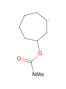 CNC(=O)OC1C[CH]CCCC1